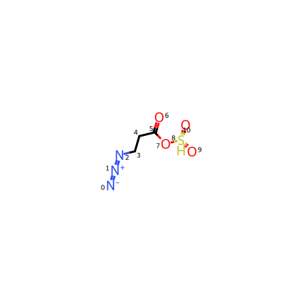 [N-]=[N+]=NCCC(=O)O[SH](=O)=O